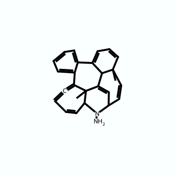 CC12C=CC=C3c4ccccc4C4=C=CC=CC5N(N)C(C=C1)C=C(C32)C45C